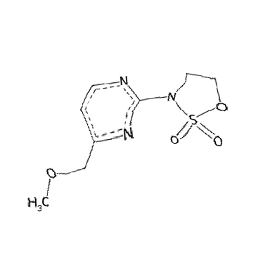 COCc1ccnc(N2CCOS2(=O)=O)n1